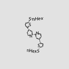 CCCCCCSc1ccc(-c2ccnc(-c3cc(-c4ccc(SCCCCCC)s4)ccn3)c2)s1